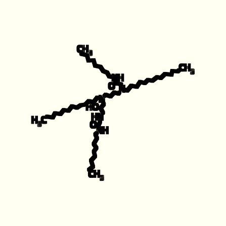 CCCCCCCCCCCCCCN(CCCCN(CCCCCCCCCCCCCC)CC(O)CNCC(=O)NCCCCCCCCCC)CC(=O)NCCCCCCCCCC